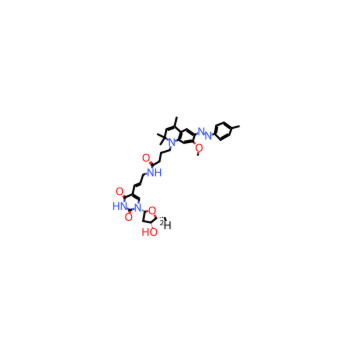 [2H]C[C@H]1O[C@@H](n2cc(/C=C/CNC(=O)CCCN3c4cc(OC)c(/N=N/c5ccc(C)cc5)cc4C(C)=CC3(C)C)c(=O)[nH]c2=O)C[C@H]1O